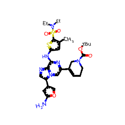 CCN(CC)S(=O)(=O)c1sc(Nc2nc(C3=CCCN(C(=O)OC(C)(C)C)C3)cn3c(-c4coc(N)c4)cnc23)cc1C